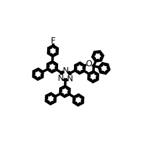 Fc1ccc(-c2cc(-c3ccccc3)cc(-c3nc(-c4cc(-c5ccccc5)cc(-c5ccccc5)c4)nc(-c4ccc5c(c4)-c4ccccc4C(c4ccccc4)(c4ccccc4)O5)n3)c2)cc1